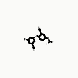 N#Cc1cc(F)cc(Oc2ccc(SC(F)F)cc2C#N)c1